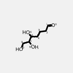 O=CCCCC(O)C(O)CO